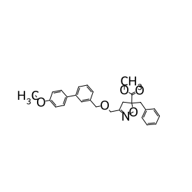 COC(=O)C1(Cc2ccccc2)CC(COCc2cccc(-c3ccc(OC)cc3)c2)=NO1